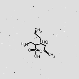 C=CCC(CC=C)C(CN)S(=O)(=O)O.Cl